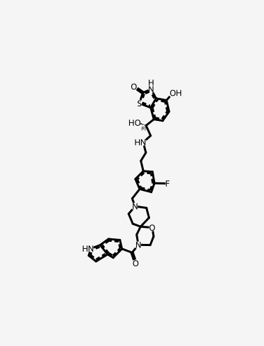 O=C(c1ccc2[nH]ccc2c1)N1CCOC2(CCN(Cc3cc(F)cc(CCNC[C@H](O)c4ccc(O)c5[nH]c(=O)sc45)c3)CC2)C1